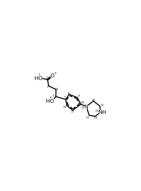 O=C(O)CCC(O)c1ccc(N2CCNCC2)cc1